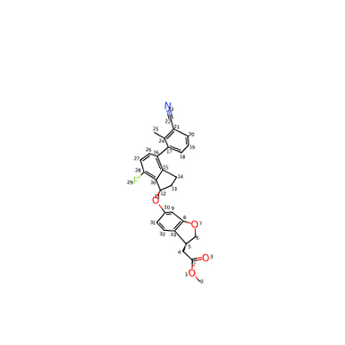 COC(=O)C[C@@H]1COc2cc(O[C@@H]3CCc4c(-c5cccc(C#N)c5C)ccc(F)c43)ccc21